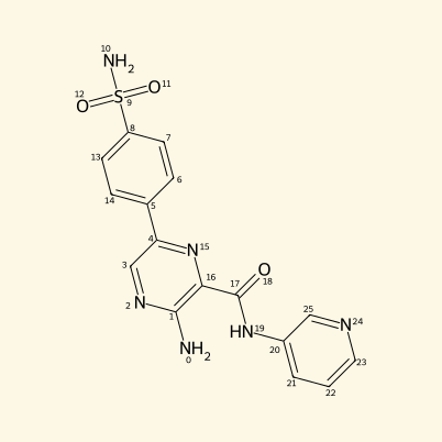 Nc1ncc(-c2ccc(S(N)(=O)=O)cc2)nc1C(=O)Nc1cccnc1